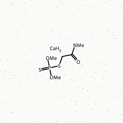 CNC(=O)CSP(=S)(OC)OC.[CaH2]